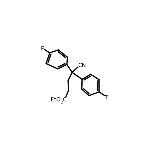 CCOC(=O)CCC(C#N)(c1ccc(F)cc1)c1ccc(F)cc1